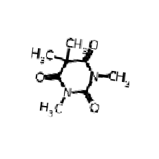 CN1C(=O)N(C)C(=O)C(C)(C)C1=O